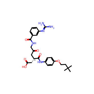 CC(C)(C)CCOc1ccc(NC(=O)[C@H](CC(=O)O)CC(=O)CNC(=O)c2cccc(N=C(N)N)c2)cc1